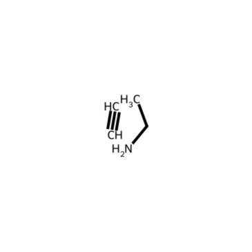 C#C.CCN